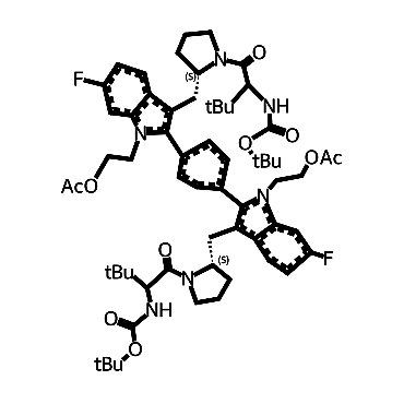 CC(=O)OCCn1c(-c2ccc(-c3c(C[C@@H]4CCCN4C(=O)C(NC(=O)OC(C)(C)C)C(C)(C)C)c4ccc(F)cc4n3CCOC(C)=O)cc2)c(C[C@@H]2CCCN2C(=O)C(NC(=O)OC(C)(C)C)C(C)(C)C)c2ccc(F)cc21